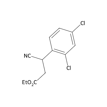 CCOC(=O)CC(C#N)c1ccc(Cl)cc1Cl